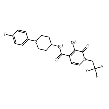 O=C(NC1CCN(c2ccc(F)cc2)CC1)c1ccn(CC(F)(F)F)c(=O)c1O